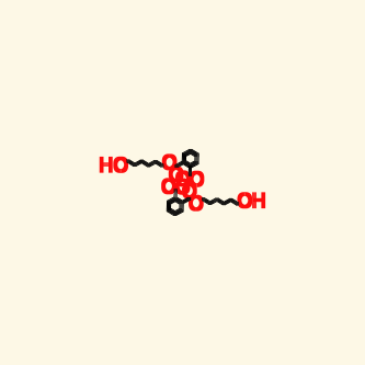 O=C(OCCCCCCO)c1ccccc1C(=O)OOC(=O)c1ccccc1C(=O)OCCCCCCO